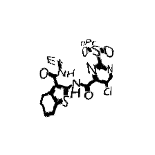 CCCS(=O)(=O)c1ncc(Cl)c(C(=O)Nc2sc3c(c2C(=O)NCC)CCCC3)n1